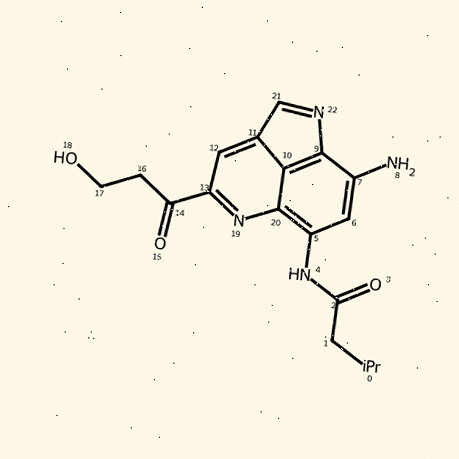 CC(C)CC(=O)Nc1cc(N)c2c3c(cc(C(=O)CCO)nc13)C=N2